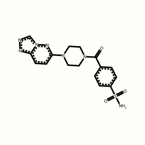 NS(=O)(=O)c1ccc(C(=O)N2CCN(c3ccc4nncn4n3)CC2)cc1